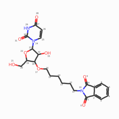 O=C1c2ccccc2C(=O)N1CCCCCCOC1C(CO)OC(n2ccc(=O)[nH]c2=O)C1O